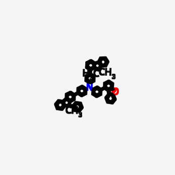 CC1(C)c2ccccc2-c2cccc(-c3ccc(N(c4ccc(-c5ccc6c(c5)C(C)(c5ccccc5)c5ccccc5-6)cc4)c4cccc(-c5cccc6oc7ccccc7c56)c4)cc3)c21